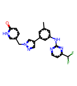 Cc1cc(Nc2nccc(C(F)F)n2)cc(-c2cnn(Cc3ccc(=O)[nH]c3)c2)c1